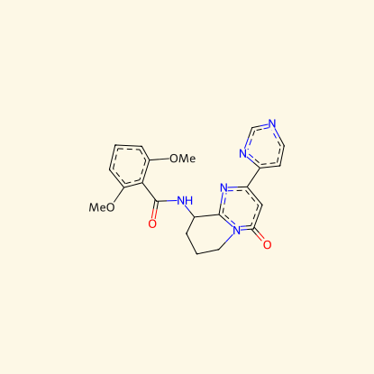 COc1cccc(OC)c1C(=O)NC1CCCn2c1nc(-c1ccncn1)cc2=O